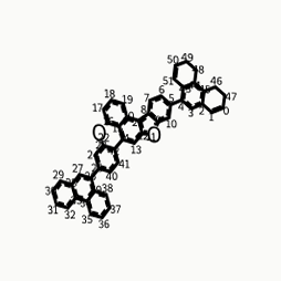 C1=Cc2cc(-c3ccc4c(c3)oc3cc5c6c(cccc6c34)Oc3cc(-c4cc6ccccc6c6ccccc46)ccc3-5)c3c(c2CC1)CCC=C3